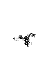 Cn1cc(-n2cc(-c3ccc(F)c(Cl)c3)c3c(=O)n(CC(=O)N4CCC(F)C4)ccc32)nn1